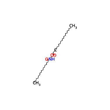 CCCCCCCCCCCCCCCCCCCCCC(=O)OCCNC(=O)CCCCCCCCCCCCCCCCC